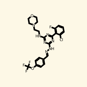 Fc1cccc(Cl)c1-c1nc(NCCN2CCOCC2)nc(N/N=C/c2ccc(OC(F)(F)F)cc2)n1